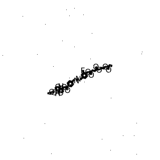 C=CC(=O)OCCOC(=O)CCC(=O)Oc1ccc(/C=N/N=C/c2ccc(C(=O)OC3CO[C@H]4[C@@H]3OC[C@H]4OOCC)cc2)cc1F